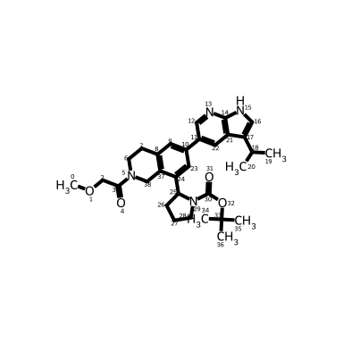 COCC(=O)N1CCc2cc(-c3cnc4[nH]cc(C(C)C)c4c3)cc(C3CCCN3C(=O)OC(C)(C)C)c2C1